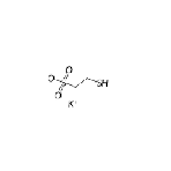 O=S(=O)([O-])CCS.[K+]